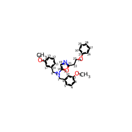 COc1cccc(CN(Cc2cccc(OC)c2)c2cnc(CCOc3ccccc3)o2)c1